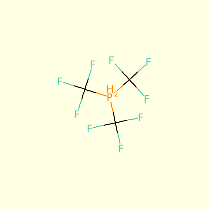 FC(F)(F)[PH2](C(F)(F)F)C(F)(F)F